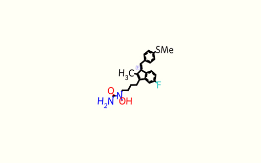 CSc1ccc(/C=C2/C(C)=C(CCCCN(O)C(N)=O)c3cc(F)ccc32)cc1